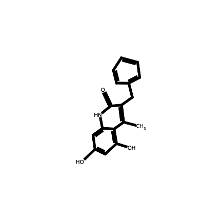 Cc1c(Cc2ccccc2)c(=O)[nH]c2cc(O)cc(O)c12